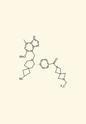 COc1cc(C)c2[nH]ccc2c1CN1CCC2(CC(C#N)C2)C[C@H]1c1ccc(C(=O)N2CC3(CN(CC(F)(F)F)C3)C2)cc1